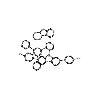 Cc1ccc(-c2ccc3c4ccc(-c5ccc(C)cc5)cc4n(-c4ccc(-c5cccc6oc7ccccc7c56)cc4-c4nc(-c5ccccc5)nc(-c5ccccc5)n4)c3c2)cc1